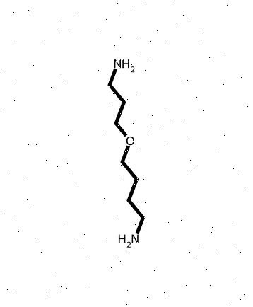 NCCCCOCCCN